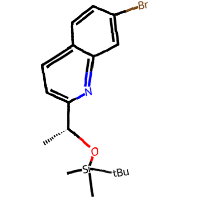 C[C@@H](O[Si](C)(C)C(C)(C)C)c1ccc2ccc(Br)cc2n1